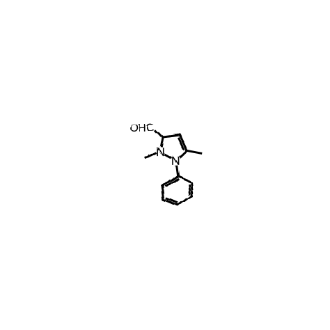 CC1=CC(C=O)N(C)N1c1ccccc1